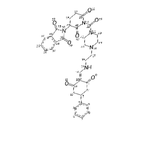 O=C1CC(c2ccccc2)CC(=O)C1=CNCCN1CCN(C(=O)N2C(=O)CCC(N3C(=O)c4ccccc4C3=O)C2=O)CC1